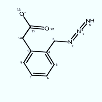 N=[N+]=NCc1ccccc1CC(=O)[O-]